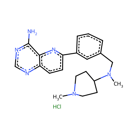 CN1CCC(N(C)Cc2cccc(-c3ccc4ncnc(N)c4n3)c2)CC1.Cl